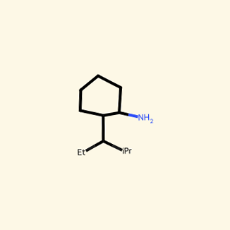 CCC(C(C)C)C1CCCCC1N